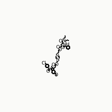 CCCN(CCC)C(=O)C(CCC(=O)OCCCN1CCN(CCOC(=O)Cc2c(C)n(C(=O)c3ccc(Cl)cc3)c3ccc(OC)cc23)CC1)NC(=O)c1ccccc1